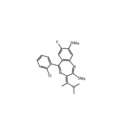 COc1cc2c(cc1F)C(c1ccccc1Cl)=NC(=C(C)N(C)C)C(SC)=N2